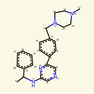 CC(Nc1cncc(-c2ccc(CN3CCN(C)CC3)cc2)n1)c1ccccc1